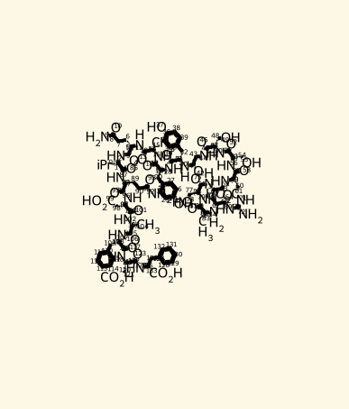 CC(C)[C@H](NC(=O)[C@H](CCC(N)=O)NC(=O)[C@H](C)NC(=O)[C@H](Cc1ccc(O)cc1)NC(=O)[C@H](Cc1ccc(O)cc1)NC(=O)CNC(=O)[C@H](CO)NC(=O)[C@H](CO)NC(=O)[C@H](CC(=O)O)NC(=O)[C@H](CCCNC(=N)N)NC(=O)[C@H](CO)NC(=O)[C@H](C)N)C(=O)N[C@@H](CCC(N)=O)C(=O)N[C@@H](CC(=O)O)C(=O)N[C@@H](C)C(=O)N[C@@H](Cc1ccccc1)C(=O)N[C@@H](CC(=O)O)C(=O)N[C@@H](Cc1ccccc1)C(=O)O